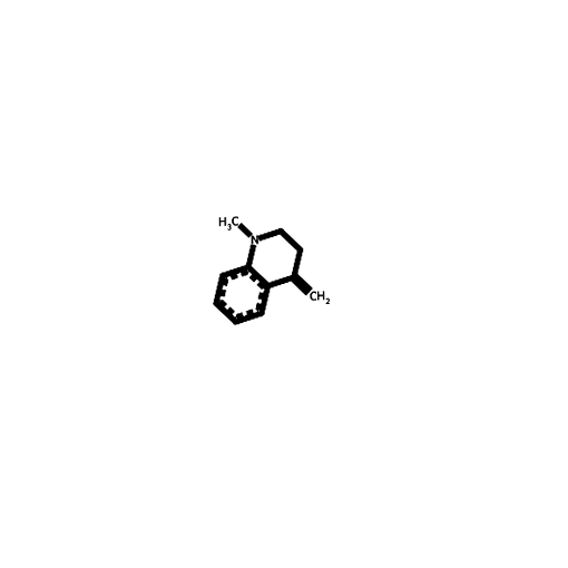 C=C1CCN(C)c2ccccc21